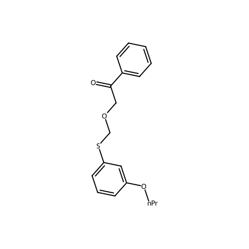 CCCOc1cccc(SCOCC(=O)c2ccccc2)c1